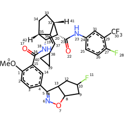 COc1ccc(C2=NOC3CC(F)CC23)cc1C(=O)N[C@H]1[C@@H](C(=O)Nc2ccc(F)c(C(F)(F)F)c2)[C@H]2CC[C@@H]1/C2=C\C1CC1